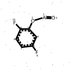 [O]=[Al][O]c1cc(F)ccc1F